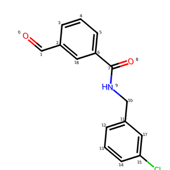 O=Cc1cccc(C(=O)NCc2cccc(Cl)c2)c1